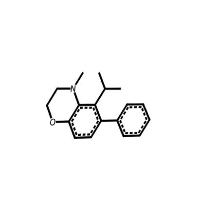 CC(C)c1c(-c2ccccc2)ccc2c1N(C)CCO2